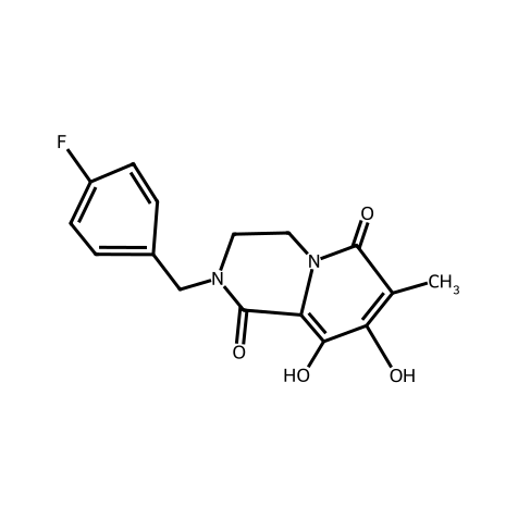 Cc1c(O)c(O)c2n(c1=O)CCN(Cc1ccc(F)cc1)C2=O